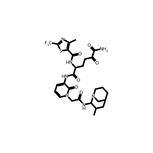 Cc1nc(C(F)(F)F)sc1C(=O)NC(CCC(=O)C(N)=O)C(=O)Nc1cccn(CC(=O)NC2C(C)CC3CCCN2C3)c1=O